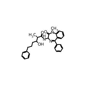 C[C@@H](C(=O)NC1N=C(c2ccccc2)c2ccccc2N(C)C1=O)C(O)CCCc1ccccc1